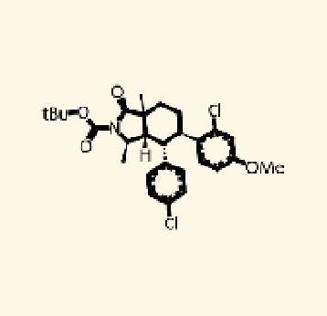 COc1ccc([C@@H]2CC[C@@]3(C)C(=O)N(C(=O)OC(C)(C)C)[C@H](C)[C@H]3[C@H]2c2ccc(Cl)cc2)c(Cl)c1